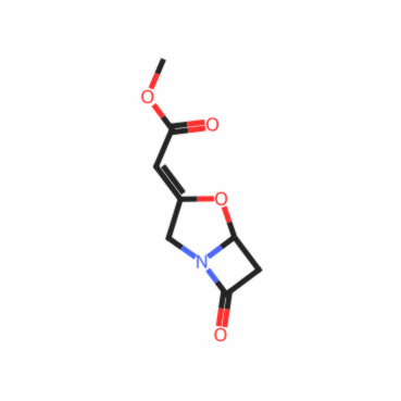 COC(=O)/C=C1/CN2C(=O)CC2O1